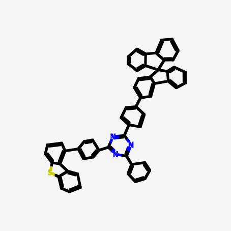 c1ccc(-c2nc(-c3ccc(-c4ccc5c(c4)-c4ccccc4C54c5ccccc5-c5ccccc54)cc3)nc(-c3ccc(-c4cccc5sc6ccccc6c45)cc3)n2)cc1